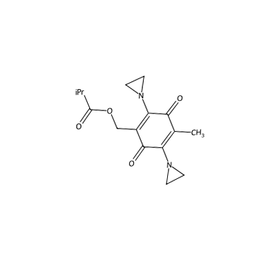 CC1=C(N2CC2)C(=O)C(COC(=O)C(C)C)=C(N2CC2)C1=O